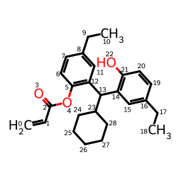 C=CC(=O)Oc1ccc(CC)cc1C(c1cc(CC)ccc1O)C1CCCCC1